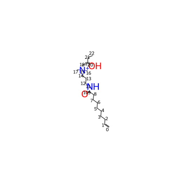 C=CCCCCCCCC(=O)NCCC[N+](C)(C)CC(O)CC